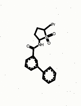 CC(C)C1CCC(NC(=O)c2cccc(-c3ccccc3)c2)S1(=O)=O